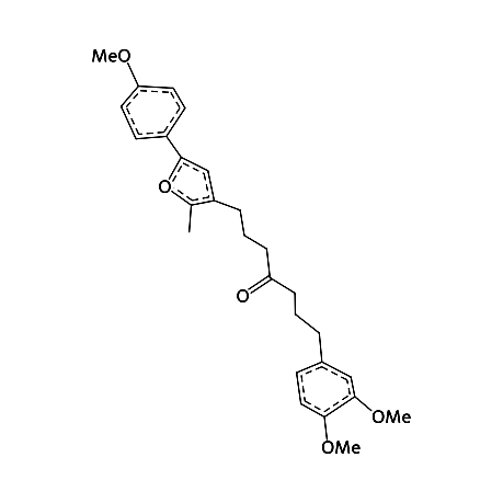 COc1ccc(-c2cc(CCCC(=O)CCCc3ccc(OC)c(OC)c3)c(C)o2)cc1